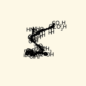 C=C(c1ccc(O)cc1)[C@@H](C[C@H](C)C(=O)NNC(=O)OCCSSCCNC(=O)[C@H](CC(=O)O)NC(=O)[C@H](CCCNC(=N)N)NC(=O)Cc1ccc(CNC(=O)NCCCCCNC(=O)N[C@@H](CCC(=O)O)C(=O)O)cc1)NC(=O)c1csc([C@H](O)C[C@H](C(C)C)N(COC(=O)CCC)C(=O)[C@@H](NC(=O)[C@H]2CCCCN2C)C(C)CC)n1